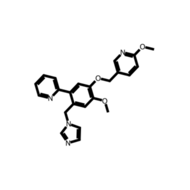 COc1ccc(COc2cc(-c3ccccn3)c(Cn3ccnc3)cc2OC)cn1